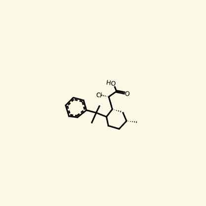 C[C@@H]1CCC(C(C)(C)c2ccccc2)[C@H]([C@H](Cl)C(=O)O)C1